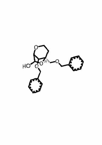 OC1O[C@]2(COCc3ccccc3)CCOC1C2OCc1ccccc1